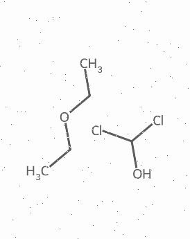 CCOCC.OC(Cl)Cl